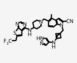 Cc1c(CN2CCC(Nc3ncnc4sc(CC(F)(F)F)cc34)CC2)ccc2c1cc(C#N)n2CC12CC(Nc3cn[nH]c3)(C1)C2